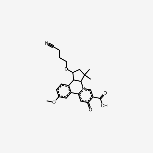 COc1ccc2c(c1)-c1cc(=O)c(C(=O)O)cn1C1C2C(OCCCC#N)CC1(C)C